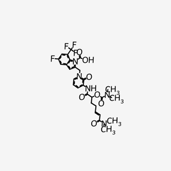 CN(C)C(=O)C=CCCC(OC(=O)N(C)C)C(=O)Nc1cccn(Cc2cc3cc(F)cc(C(F)(F)F)c3n2C(=O)O)c1=O